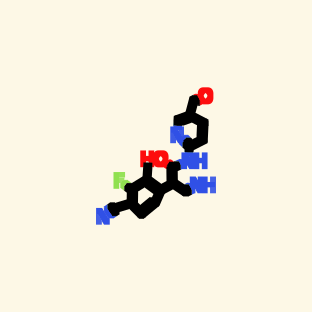 Cc1c(/C(C=N)=C(\O)Nc2ccc(C=O)cn2)ccc(C#N)c1F